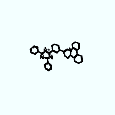 C[n+]1c(C2=CC(C3=CC4(C)C5=C(C=CCC5)C5=C(CCC=C5)C4CC3)=CCC2)nc(-c2ccccc2)nc1-c1ccccc1